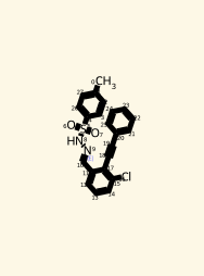 Cc1ccc(S(=O)(=O)N/N=C/c2cccc(Cl)c2C#Cc2ccccc2)cc1